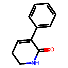 O=C1NCCC=C1c1ccccc1